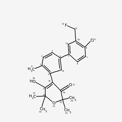 Cc1ccc(-c2ccc(Cl)c(CF)c2)cc1C1=C(O)C(C)(C)OC(C)(C)C1=O